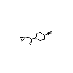 N#CC1CCN(C(=O)CC2CC2)CC1